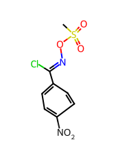 CS(=O)(=O)ON=C(Cl)c1ccc([N+](=O)[O-])cc1